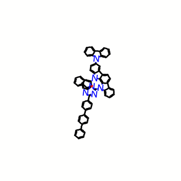 c1ccc(-c2ccc(-c3ccc(-c4nc(-c5ccccc5)nc(-n5c6ccccc6c6ccc7c8cc(-n9c%10ccccc%10c%10ccccc%109)ccc8n(-c8ccccc8)c7c65)n4)cc3)cc2)cc1